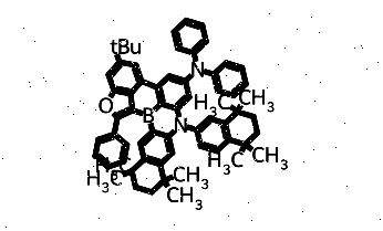 CC(C)(C)c1cc2c3c(c(-c4ccccc4)oc3c1)B1c3cc4c(cc3N(c3ccc5c(c3)C(C)(C)CCC5(C)C)c3cc(N(c5ccccc5)c5ccccc5)cc-2c31)C(C)(C)CCC4(C)C